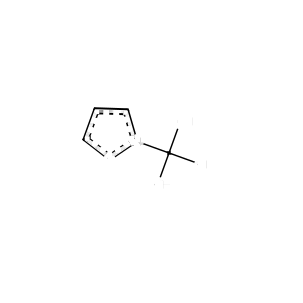 CC(C)(C)[n+]1cccs1